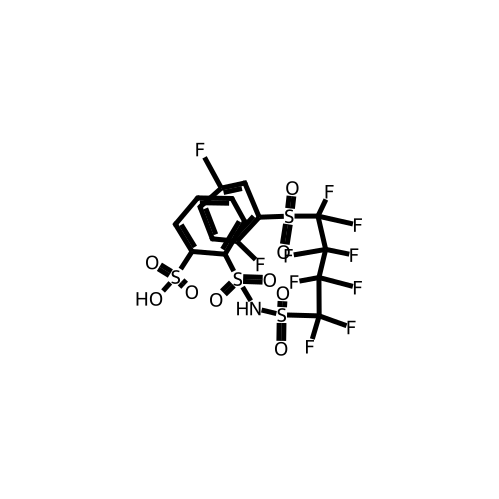 O=S(=O)(O)c1ccccc1S(=O)(=O)NS(=O)(=O)C(F)(F)C(F)(F)C(F)(F)C(F)(F)S(=O)(=O)c1cc(F)ccc1F